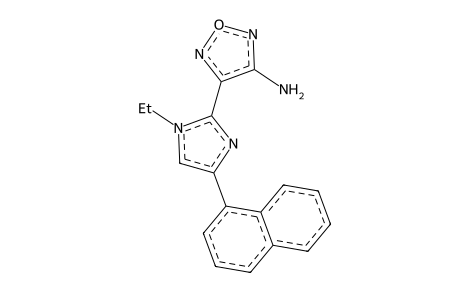 CCn1cc(-c2cccc3ccccc23)nc1-c1nonc1N